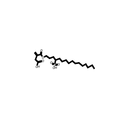 C=C(CC(=O)O)C(=O)OCCCC(CCCCCCCCCCCC)S(=O)(=O)O